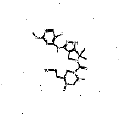 COc1ncc(F)c(Nc2n[nH]c3c2CN(C(=O)N2CC(CCO)N(C)C[C@@H]2C)C3(C)C)n1